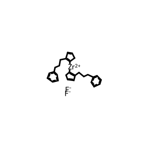 C1=CC(CCCc2ccccc2)=[C]([Zr+2][C]2=C(CCCc3ccccc3)C=CC2)C1.[F-].[F-]